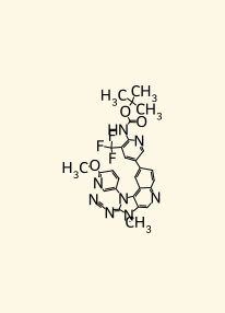 COc1ccc(-n2c(=NC#N)n(C)c3cnc4ccc(-c5cnc(NC(=O)OC(C)(C)C)c(C(F)(F)F)c5)cc4c32)cn1